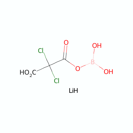 O=C(O)C(Cl)(Cl)C(=O)OB(O)O.[LiH]